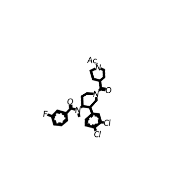 CC(=O)N1CCC(C(=O)N2CCC(N(C)C(=O)c3cccc(F)c3)C(c3ccc(Cl)c(Cl)c3)C2)CC1